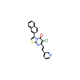 O=c1c(Cl)c(/C=C/c2cccnc2)nc2scc(-c3ccc4ccccc4c3)n12